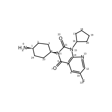 N[C@H]1CC[C@@H](n2c(=O)c3cc(F)cnc3n(C3CCCC3)c2=O)CC1